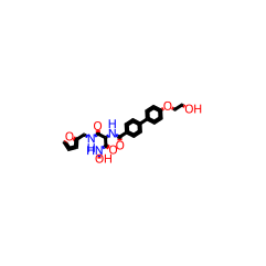 O=C(NC(C(=O)NO)C(=O)NCc1ccco1)c1ccc(-c2ccc(OCCO)cc2)cc1